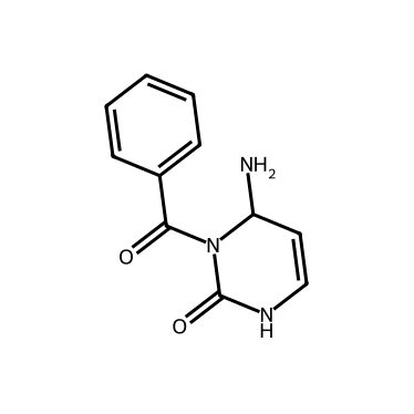 NC1C=CNC(=O)N1C(=O)c1ccccc1